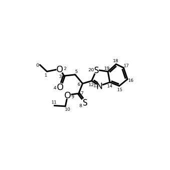 CCOC(=O)CC(C(=S)OCC)c1nc2ccccc2s1